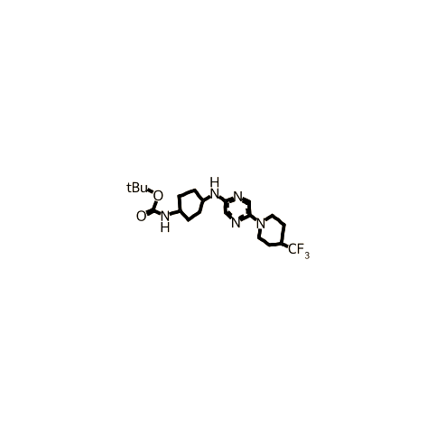 CC(C)(C)OC(=O)NC1CCC(Nc2cnc(N3CCC(C(F)(F)F)CC3)cn2)CC1